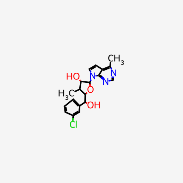 Cc1ncnc2c1ccn2C1OC(C(O)c2cccc(Cl)c2)C(C)C1O